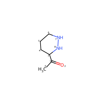 CC(=O)C1CCCNN1